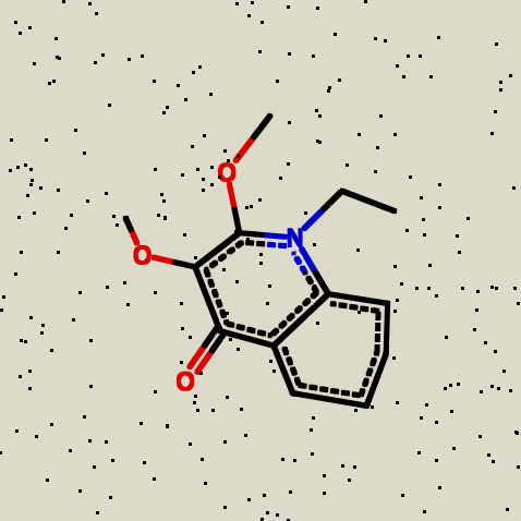 CCn1c(OC)c(OC)c(=O)c2ccccc21